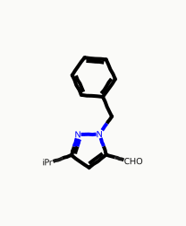 CC(C)c1cc(C=O)n(Cc2ccccc2)n1